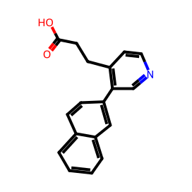 O=C(O)CCc1ccncc1-c1ccc2ccccc2c1